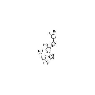 Cc1nnc(C2CC(n3cc(-c4ccc(Br)c(F)c4)nn3)C(O)C(CO)O2)n1-c1cc(Cl)ccc1C(F)(F)F